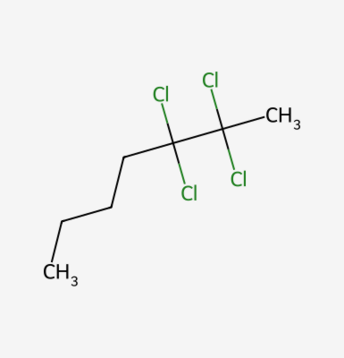 CCCCC(Cl)(Cl)C(C)(Cl)Cl